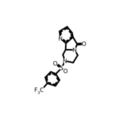 O=C1c2cccnc2C2CN(S(=O)(=O)c3ccc(C(F)(F)F)cc3)CCN12